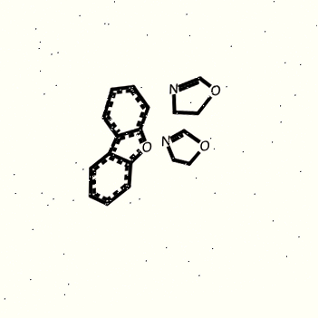 C1=NCCO1.C1=NCCO1.c1ccc2c(c1)oc1ccccc12